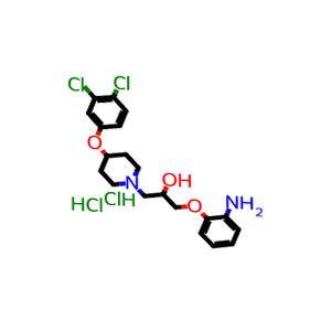 Cl.Cl.Nc1ccccc1OCC(O)CN1CCC(Oc2ccc(Cl)c(Cl)c2)CC1